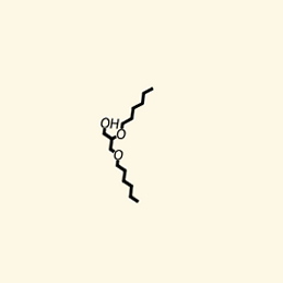 CCCCCCOCC(CO)OCCCCCC